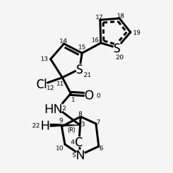 O=C(N[C@H]1CN2CCC1CC2)C1(Cl)CC=C(c2cccs2)S1